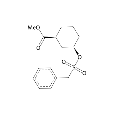 COC(=O)[C@H]1CCC[C@@H](OS(=O)(=O)Cc2ccccc2)C1